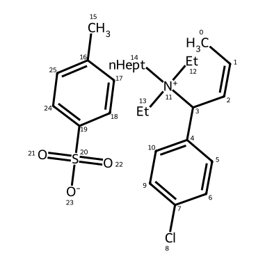 C/C=C\C(c1ccc(Cl)cc1)[N+](CC)(CC)CCCCCCC.Cc1ccc(S(=O)(=O)[O-])cc1